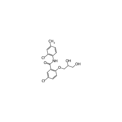 Cc1ccc(NC(=O)c2cc(Cl)ccc2OCC(O)CO)c(Cl)c1